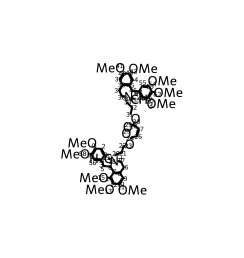 COc1ccc(CC2c3c(cc(OC)c(OC)c3OC)CC[N+]2(C)CCCOC(=O)/C=C\C(=O)OCCC[N+]2(C)CCc3cc(OC)c(OC)cc3C2c2cc(OC)c(OC)c(OC)c2)cc1OC